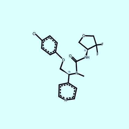 CN(C(=O)N[C@H]1COCC1(F)F)[C@H](COc1ccc(Cl)cc1)c1ccncc1